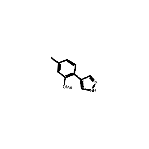 COc1cc(C)ccc1-c1cn[nH]c1